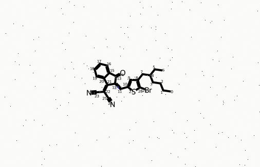 CCCCC(CC)Cc1cc(/C=C2\C(=O)c3ccccc3C2=C(C#N)C#N)sc1Br